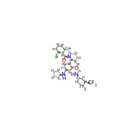 Cc1ccc(NCOCC2CCCN(C(=O)c3c(C)cccc3F)C2c2ccc(NC3CCCC3)cc2)cc1C(F)(F)F